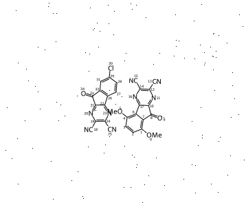 COc1ccc(OC)c2c1C(=O)c1nc(C#N)c(C#N)nc1-2.N#Cc1nc2c(nc1C#N)-c1ccc(Cl)cc1C2=O